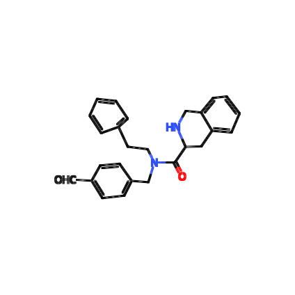 O=Cc1ccc(CN(CCc2ccccc2)C(=O)C2Cc3ccccc3CN2)cc1